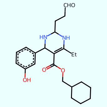 CCC1=C(C(=O)OCC2CCCCC2)C(c2cccc(O)c2)NC(CCC=O)N1